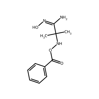 CC(C)(NOC(=O)c1ccccc1)/C(N)=N\O